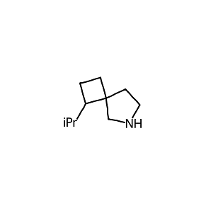 CC(C)C1CCC12CCNC2